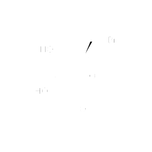 CO[C@H]1O[C@H](CBr)[C@@H](O)[C@H]1O